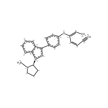 BN1CCC[C@@H]1n1nc(-c2ccc(OC(/C=C\C#C)=C/C)cc2)c2cncnc21